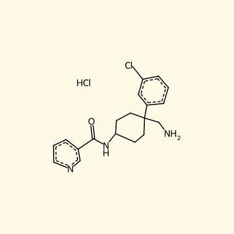 Cl.NCC1(c2cccc(Cl)c2)CCC(NC(=O)c2cccnc2)CC1